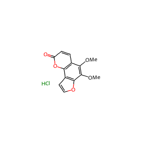 COc1c(OC)c2occc2c2oc(=O)ccc12.Cl